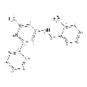 FC(F)(F)c1cc(NCc2ccccc2C(F)(F)F)nc(-c2ccccn2)n1